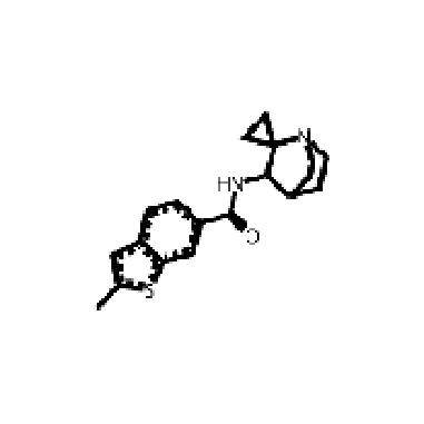 Cc1cc2ccc(C(=O)NC3C4CCN(CC4)C34CC4)cc2s1